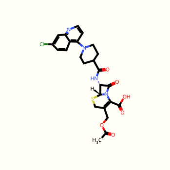 CC(=O)OCC1=C(C(=O)O)N2C(=O)[C@@H](NC(=O)C3CCN(c4ccnc5cc(Cl)ccc45)CC3)[C@H]2SC1